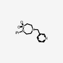 CC(C)N1CCN(Cc2cccnc2)CCS1(=O)=O